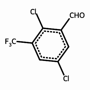 O=Cc1cc(Cl)cc(C(F)(F)F)c1Cl